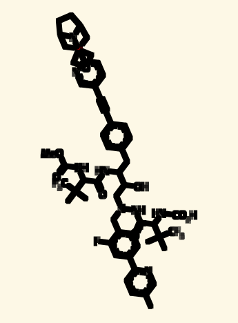 COC(=O)NC(C(=O)NC(Cc1ccc(C#Cc2ccc(N3CC4CCC(C3)N4C3COC3)nc2)cc1)C(O)CN(Cc1c(F)cc(-c2ccc(C)cn2)cc1F)NC(=O)C(NC(=O)O)C(C)(C)C(F)(F)F)C(C)(C)C(F)(F)F